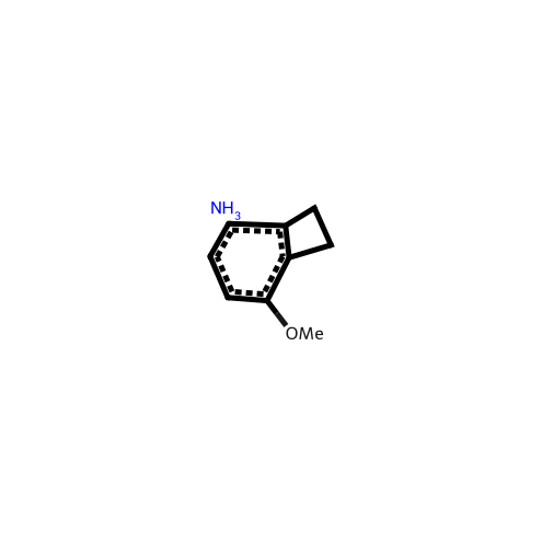 COc1cccc2c1CC2.N